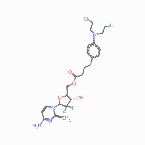 C=C1N=C(N)C=CN1C1OC(COC(=O)CCCc2ccc(N(CCCl)CCCl)cc2)[C@H](O)C1(F)F